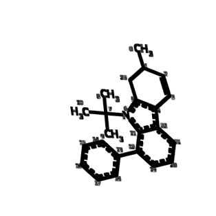 CC1C=Cc2c(n(C(C)(C)C)c3c(-c4ccccc4)cccc23)C1